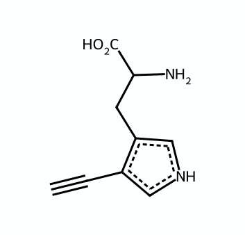 C#Cc1c[nH]cc1CC(N)C(=O)O